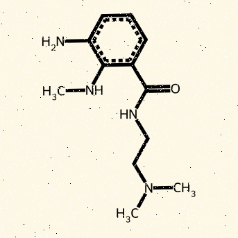 CNc1c(N)cccc1C(=O)NCCN(C)C